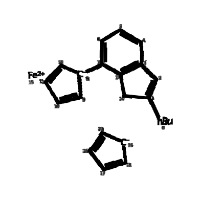 CCCCC1=Cc2cccc(-[c-]3cccc3)c2C1.[Fe+2].c1cc[cH-]c1